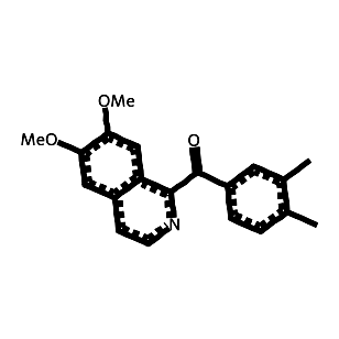 COc1cc2ccnc(C(=O)c3ccc(C)c(C)c3)c2cc1OC